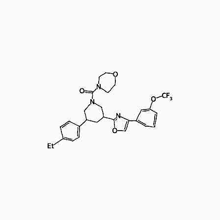 CCc1ccc(C2CC(c3nc(-c4cccc(OC(F)(F)F)c4)co3)CN(C(=O)N3CCOCC3)C2)cc1